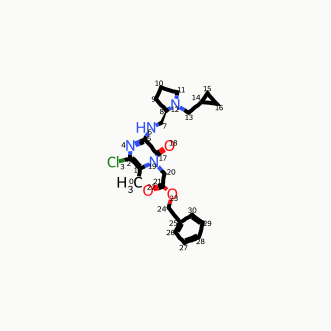 Cc1c(Cl)nc(NC[C@H]2CCCN2CC2CC2)c(=O)n1CC(=O)OCc1ccccc1